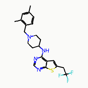 Cc1ccc(CN2CCC(Nc3ncnc4sc(CC(F)(F)F)cc34)CC2)c(C)c1